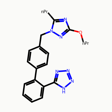 CCCOc1nc(CCC)n(Cc2ccc(-c3ccccc3-c3nnn[nH]3)cc2)n1